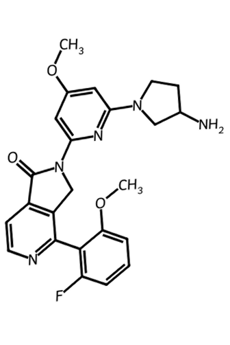 COc1cc(N2CCC(N)C2)nc(N2Cc3c(ccnc3-c3c(F)cccc3OC)C2=O)c1